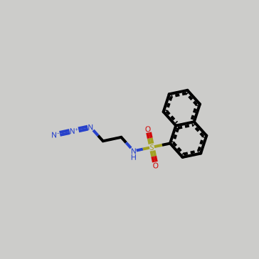 [N-]=[N+]=NCCNS(=O)(=O)c1cccc2ccccc12